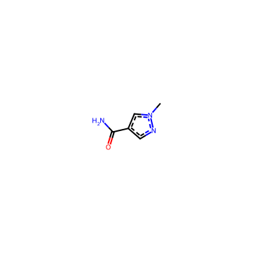 Cn1cc(C(N)=O)cn1